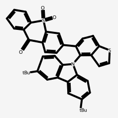 CC(C)(C)c1ccc2c(c1)c1cc(C(C)(C)C)ccc1n2-c1c(-c2ccc3c(c2)S(=O)(=O)c2ccccc2C3=O)ccc2sccc12